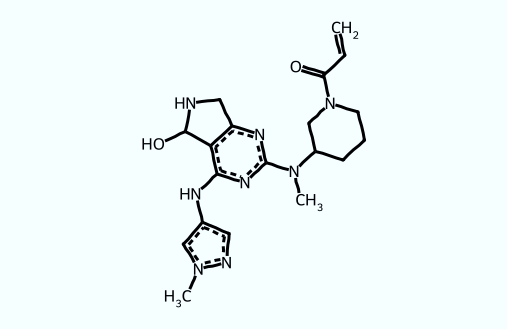 C=CC(=O)N1CCCC(N(C)c2nc3c(c(Nc4cnn(C)c4)n2)C(O)NC3)C1